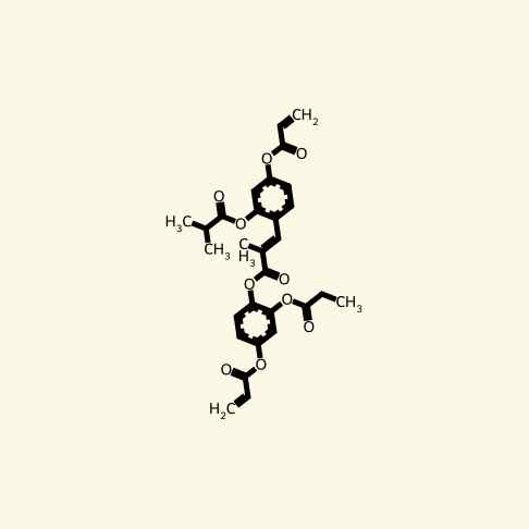 C=CC(=O)Oc1ccc(/C=C(\C)C(=O)Oc2ccc(OC(=O)C=C)cc2OC(=O)CC)c(OC(=O)C(C)C)c1